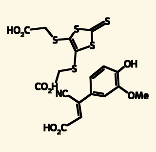 COc1cc(C(C#N)=CC(=O)O)ccc1O.O=C(O)CSc1sc(=S)sc1SCC(=O)O